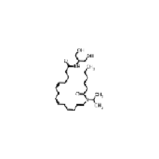 CCCCCC(=O)N(CC/C=C\C/C=C\C/C=C\CCCC(=O)NC(CO)CO)C(C)C